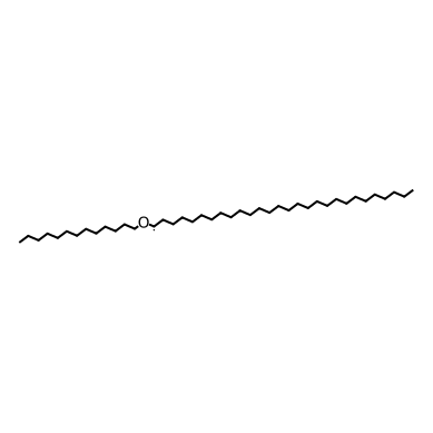 CCCCCCCCCCCCCCCCCCCCCCCCCCC[CH]OCCCCCCCCCCCCC